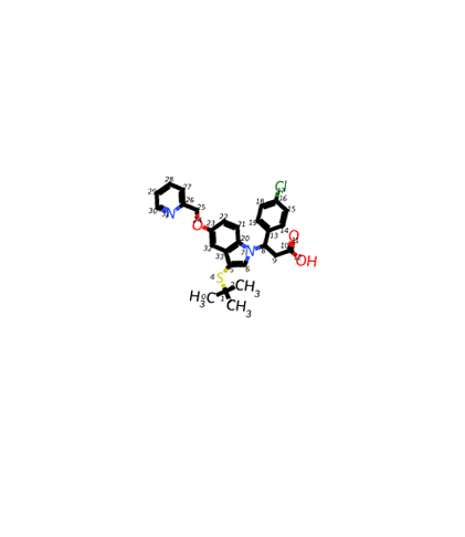 CC(C)(C)Sc1cn(C(CC(=O)O)c2ccc(Cl)cc2)c2ccc(OCc3ccccn3)cc12